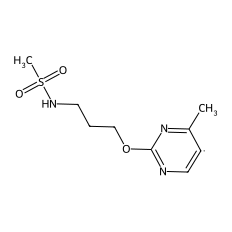 Cc1[c]cnc(OCCCNS(C)(=O)=O)n1